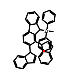 [CH3][Zr]([c]1ccccc1)([c]1ccccc1)[CH]1c2ccccc2-c2ccc(C3C=Cc4ccccc43)c(C3C=Cc4ccccc43)c21